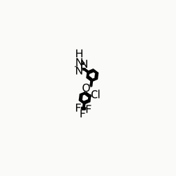 FC(F)(F)c1ccc(OCc2cccc(-c3nc[nH]n3)c2)c(Cl)c1